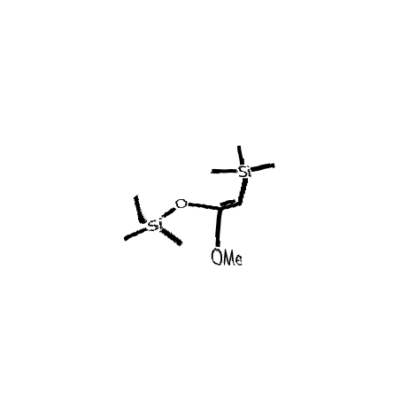 COC(=C[Si](C)(C)C)O[Si](C)(C)C